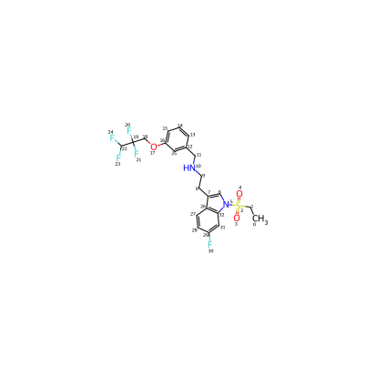 CCS(=O)(=O)n1cc(CCNCc2cccc(OCC(F)(F)C(F)F)c2)c2ccc(F)cc21